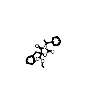 CCOC(=O)C1(Cc2ccccc2)OC(=O)N(C(C)c2ccccc2)C1=O